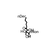 CCCCCCCCCCCCCCCC(=O)C(O)C(O)(CO)C(=O)CCCCCCCCC